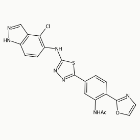 CC(=O)Nc1cc(-c2nnc(Nc3ccc4[nH]ncc4c3Cl)s2)ccc1-c1ncco1